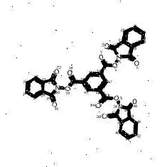 O=C(ON1C(=O)c2ccccc2C1=O)c1cc(C(=O)ON2C(=O)c3ccccc3C2=O)cc(C(=O)ON2C(=O)C3C=CC=CC3C2=O)c1